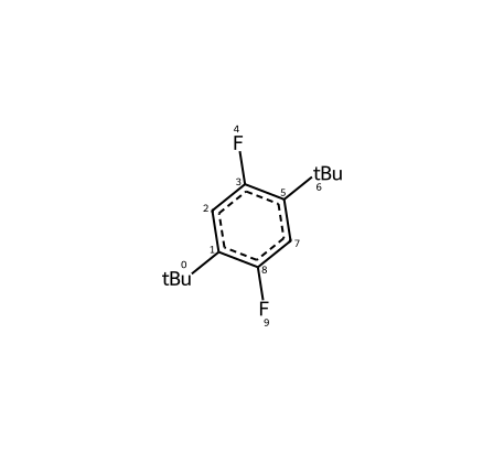 CC(C)(C)c1cc(F)c(C(C)(C)C)cc1F